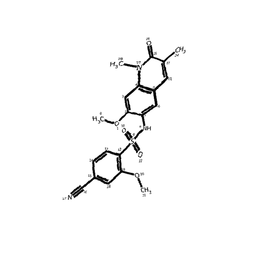 COc1cc2c(cc1NS(=O)(=O)c1ccc(C#N)cc1OC)cc(C)c(=O)n2C